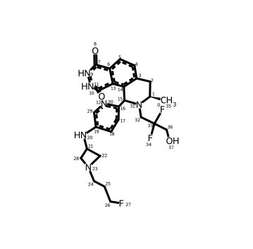 C[C@@H]1Cc2ccc3c(=O)[nH][nH]c(=O)c3c2C(c2ccc(NC3CN(CCCF)C3)cn2)N1CC(F)(F)CO